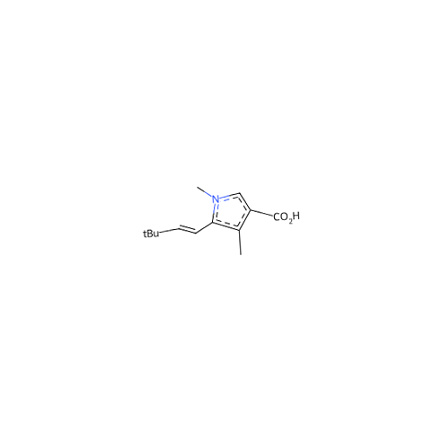 Cc1c(C(=O)O)cn(C)c1/C=C/C(C)(C)C